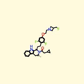 C[C@@H]1Cc2c([nH]c3ccccc23)[C@@H](CCc2c(F)cc(OCCN3CC(CF)C3)cc2F)N1C(=O)CC1CC1